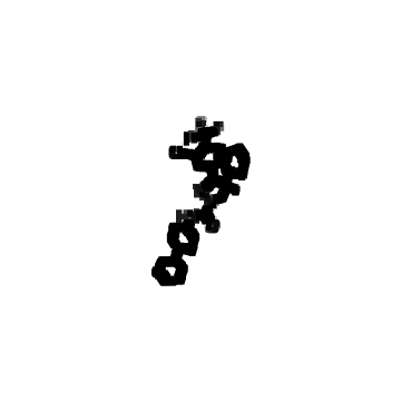 CC1(c2ccccc2)CN(C(=O)Nc2ccc(-c3ccccc3)cc2)N=C1c1ccc(C(F)(F)F)c(Cl)c1